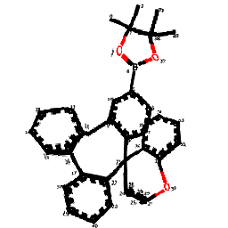 CC1(C)OB(c2ccc3c(c2)-c2ccccc2-c2ccccc2C32c3ccccc3Oc3ccccc32)OC1(C)C